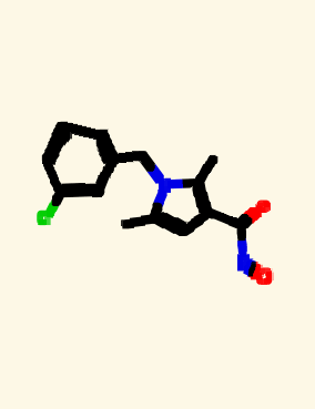 Cc1cc(C(=O)N=O)c(C)n1Cc1cccc(Cl)c1